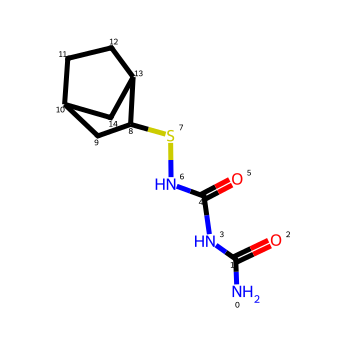 NC(=O)NC(=O)NSC1CC2CCC1C2